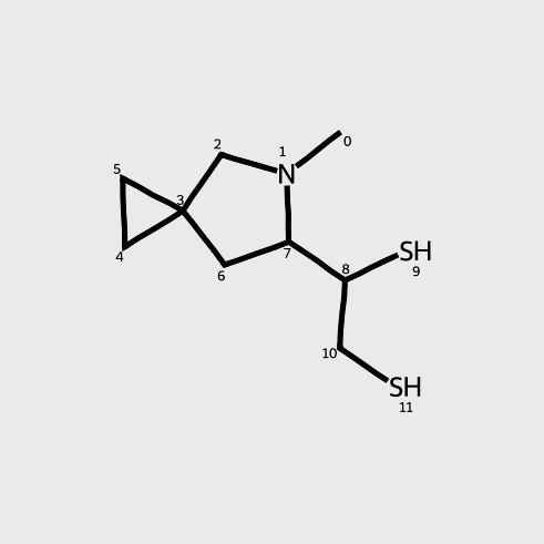 CN1CC2(CC2)CC1C(S)CS